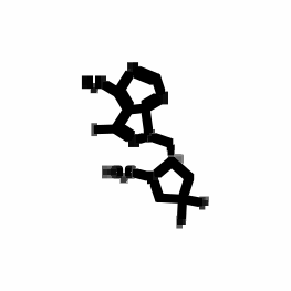 Nc1ncnc2c1c(I)nn2C[C@@H]1CC(F)(F)CN1C(=O)O